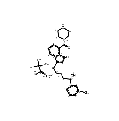 C[C@H](Cc1c[nH]c2c(C(=O)N3CCOCC3)cccc12)NC[C@H](O)c1cccc(Cl)c1.O=C(O)C(F)(F)F